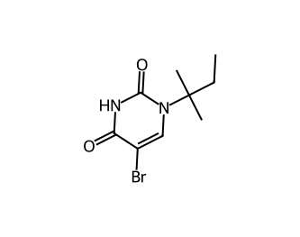 CCC(C)(C)n1cc(Br)c(=O)[nH]c1=O